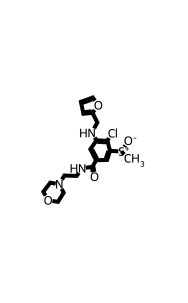 C[S+]([O-])c1cc(C(=O)NCCN2CCOCC2)cc(NCc2ccco2)c1Cl